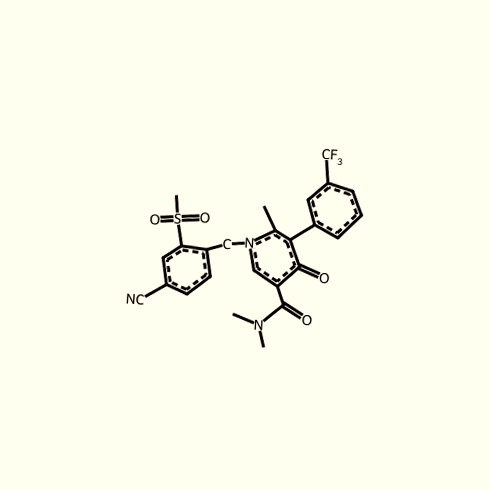 Cc1c(-c2cccc(C(F)(F)F)c2)c(=O)c(C(=O)N(C)C)cn1Cc1ccc(C#N)cc1S(C)(=O)=O